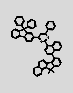 CC1(C)c2cccc(-c3ccc(-c4nc(-c5ccccc5)cc(-c5ccc6c(c5)C(c5ccccc5)(c5ccccc5)c5ccccc5-6)n4)c4ccccc34)c2-c2ccc3ccccc3c21